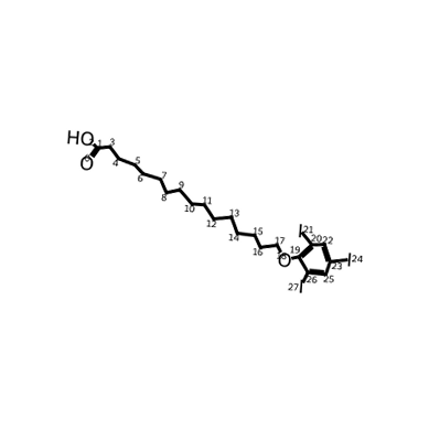 O=C(O)CCCCCCCCCCCCCCCOc1c(I)cc(I)cc1I